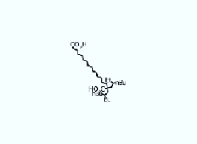 CCCCC(CC)CC(CCCCCCCCCCCCCCC(=O)O)(CC(CC)CCCC)C(=O)O